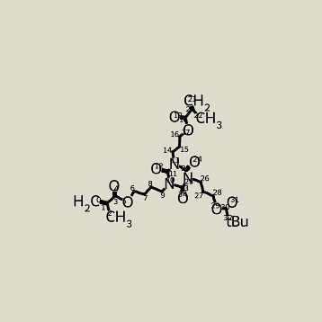 C=C(C)C(=O)OCCCCn1c(=O)n(CCCOC(=O)C(=C)C)c(=O)n(CCCOC(=O)C(C)(C)C)c1=O